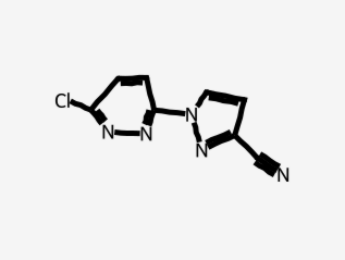 N#Cc1ccn(-c2ccc(Cl)nn2)n1